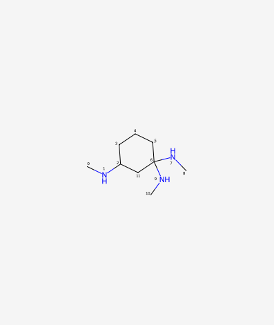 CNC1CC[CH]C(NC)(NC)C1